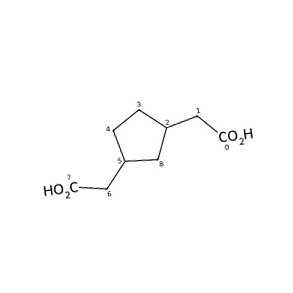 O=C(O)CC1CCC(CC(=O)O)C1